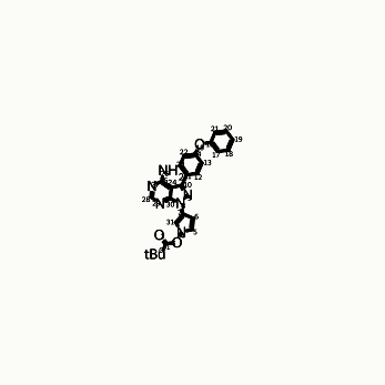 CC(C)(C)C(=O)On1ccc(-n2nc(-c3ccc(Oc4ccccc4)cc3)c3c(N)ncnc32)c1